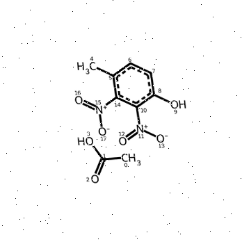 CC(=O)O.Cc1ccc(O)c([N+](=O)[O-])c1[N+](=O)[O-]